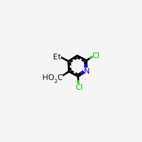 CCc1cc(Cl)nc(Cl)c1C(=O)O